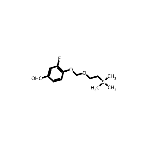 C[Si](C)(C)CCOCOc1ccc(C=O)cc1F